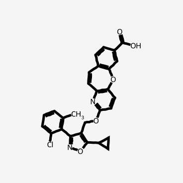 Cc1cccc(Cl)c1-c1noc(C2CC2)c1COc1ccc2c(n1)C=Cc1ccc(C(=O)O)cc1O2